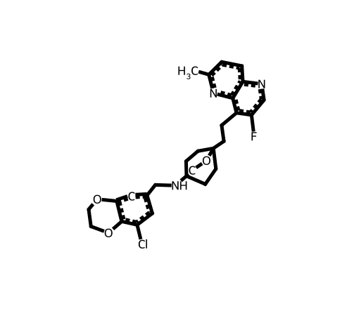 Cc1ccc2ncc(F)c(CCC34CCC(NCc5cc(Cl)c6c(c5)OCCO6)(CC3)CO4)c2n1